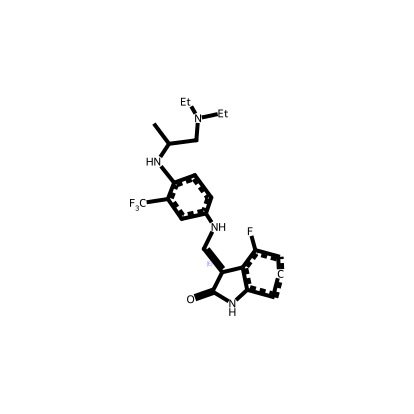 CCN(CC)CC(C)Nc1ccc(N/C=C2/C(=O)Nc3cccc(F)c32)cc1C(F)(F)F